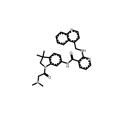 CN(C)CC(=O)N1CC(C)(C)c2ccc(NC(=O)c3cccnc3NCc3ccnc4ccccc34)cc21